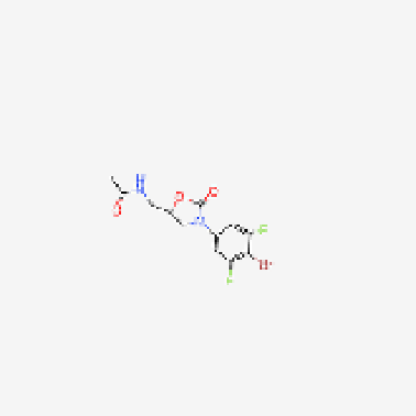 CC(=O)NCC1CN(c2cc(F)c(Br)c(F)c2)C(=O)O1